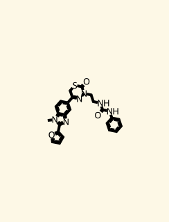 Cn1c(-c2ccco2)nc2cc(C3=NN(CCNC(=O)Nc4ccccc4)C(=O)SC3)ccc21